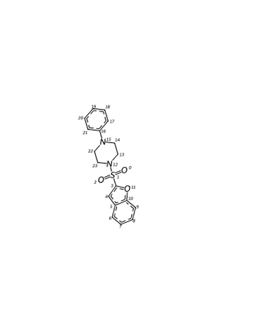 O=S(=O)(c1cc2ccccc2o1)N1CCN(c2ccccc2)CC1